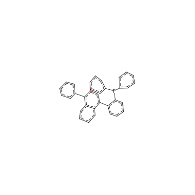 c1ccc(-c2ccc(-c3ccccc3P(c3ccccc3)c3ccccc3)c3ccccc23)cc1